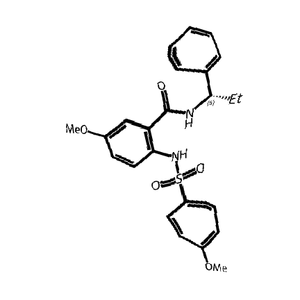 CC[C@H](NC(=O)c1cc(OC)ccc1NS(=O)(=O)c1ccc(OC)cc1)c1ccccc1